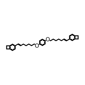 C(=C\c1ccc2c(c1)CC2)/CCCCCOc1ccc(OCCCCC/C=C/c2ccc3c(c2)CC3)cc1